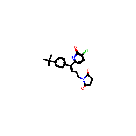 CC(C)(C)c1ccc(C(=CCCN2C(=O)CCC2=O)c2ccc(Cl)c(=O)[nH]2)cc1